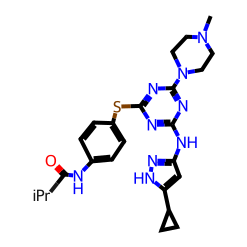 CC(C)C(=O)Nc1ccc(Sc2nc(Nc3cc(C4CC4)[nH]n3)nc(N3CCN(C)CC3)n2)cc1